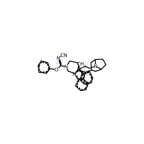 Cc1nc2ccccc2n1C1CC2CCC(C1)N2CCC1(c2ccccc2)CCN(/C(=N\C#N)Oc2ccccc2)CC1